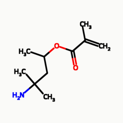 C=C(C)C(=O)OC(C)CC(C)(C)N